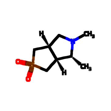 C[C@@H]1[C@H]2CS(=O)(=O)C[C@H]2CN1C